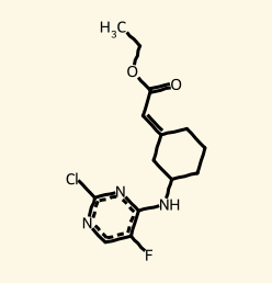 CCOC(=O)/C=C1\CCCC(Nc2nc(Cl)ncc2F)C1